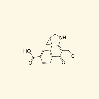 O=C(O)c1ccc2c(c1)C13CC1CNC3=C(CCl)C2=O